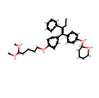 CCC(=C(c1ccc(OCCCCC(OC)OC)cc1)c1ccc(OC2CCCCO2)cc1)c1ccccc1